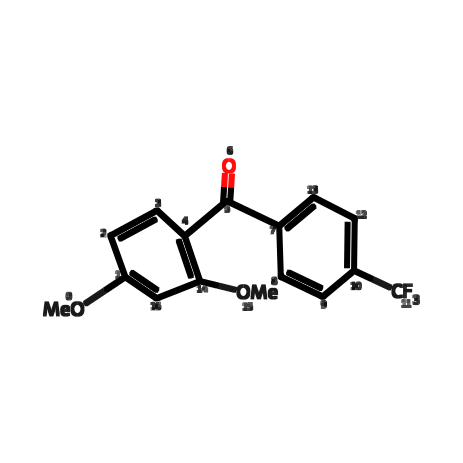 COc1ccc(C(=O)c2ccc(C(F)(F)F)cc2)c(OC)c1